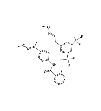 CON=C(C)c1ccc(NC(=O)c2ccccc2F)cc1.CON=CCc1cc(C(F)(F)F)cc(C(F)(F)F)c1